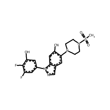 CS(=O)(=O)N1CCN(c2cc3cnn(-c4cc(O)c(F)c(F)c4)c3cc2C#N)CC1